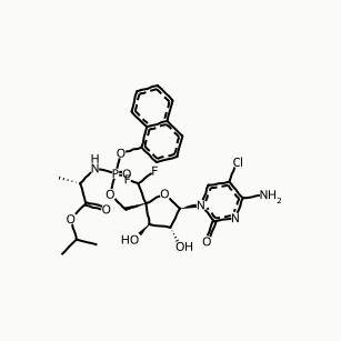 CC(C)OC(=O)[C@H](C)NP(=O)(OC[C@@]1(C(F)F)O[C@@H](n2cc(Cl)c(N)nc2=O)[C@H](O)[C@H]1O)Oc1cccc2ccccc12